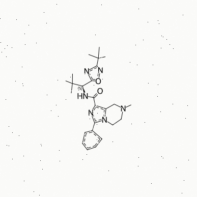 CN1CCn2c(-c3ccccc3)nc(C(=O)N[C@H](c3nc(C(C)(C)C)no3)C(C)(C)C)c2C1